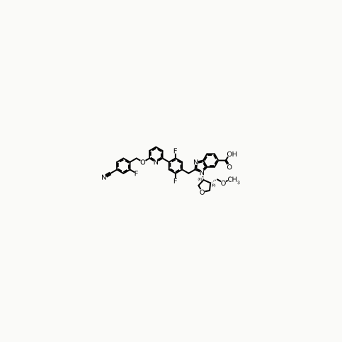 COC[C@@H]1COC[C@@H]1n1c(Cc2cc(F)c(-c3cccc(OCc4ccc(C#N)cc4F)n3)cc2F)nc2ccc(C(=O)O)cc21